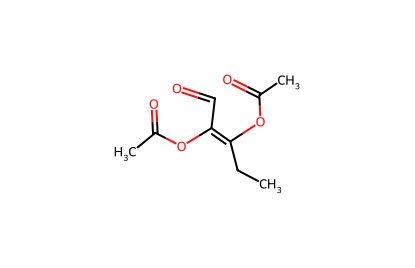 CCC(OC(C)=O)=C(C=O)OC(C)=O